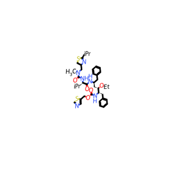 CCO[C@@H](C[C@H](Cc1ccccc1)NC(=O)[C@@H](NC(=O)N(C)CC1CSC(C(C)C)=N1)C(C)C)[C@H](Cc1ccccc1)NC(=O)OCc1cncs1